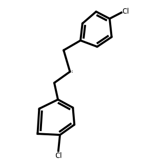 Clc1ccc(C[C]Cc2ccc(Cl)cc2)cc1